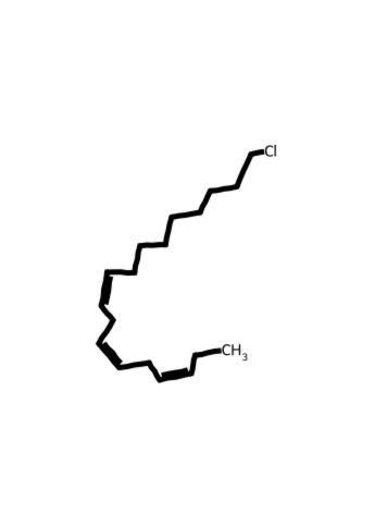 CC/C=C\C/C=C\C/C=C\CCCCCCCCCl